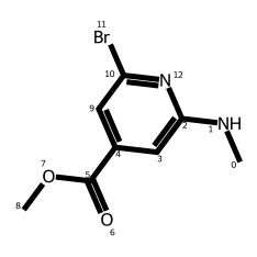 CNc1cc(C(=O)OC)cc(Br)n1